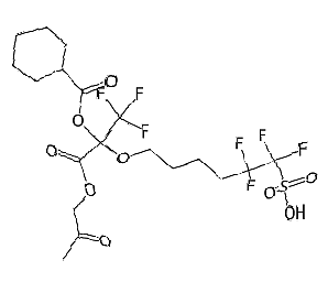 CC(=O)COC(=O)C(OCCCCC(F)(F)C(F)(F)S(=O)(=O)O)(OC(=O)C1CCCCC1)C(F)(F)F